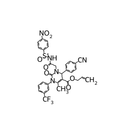 C=CCOC(=O)C1=C(C)N(c2cccc(C(F)(F)F)c2)C(=O)N(CC(=O)N[S+]([O-])c2ccc([N+](=O)[O-])cc2)C1c1ccc(C#N)cc1